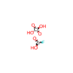 [O]=[Cr](=[O])([OH])[OH].[O]=[Zr]([OH])[F]